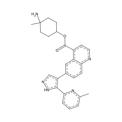 Cc1cccc(-c2[nH]ncc2-c2ccc3nccc(C(=O)OC4CCC(C)(N)CC4)c3c2)n1